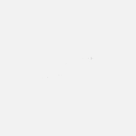 CCCCCCCCCOc1ccc(/C=C/C(=O)O)cc1